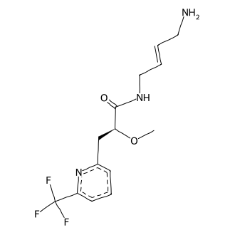 CO[C@@H](Cc1cccc(C(F)(F)F)n1)C(=O)NC/C=C/CN